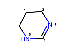 [C]1CCN=CN1